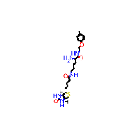 [CH2]c1ccc(OCCNC(=O)[C@H](N)CCCCNC(=O)CCCC[C@@H]2SC[C@@H]3NC(=O)N[C@@H]32)cc1